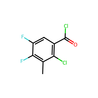 Cc1c(F)c(F)cc(C(=O)Cl)c1Cl